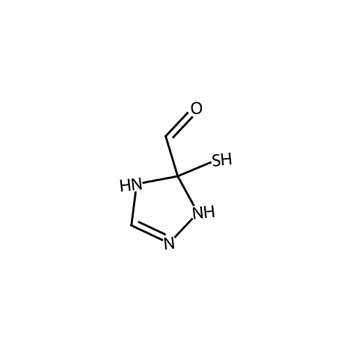 O=CC1(S)NC=NN1